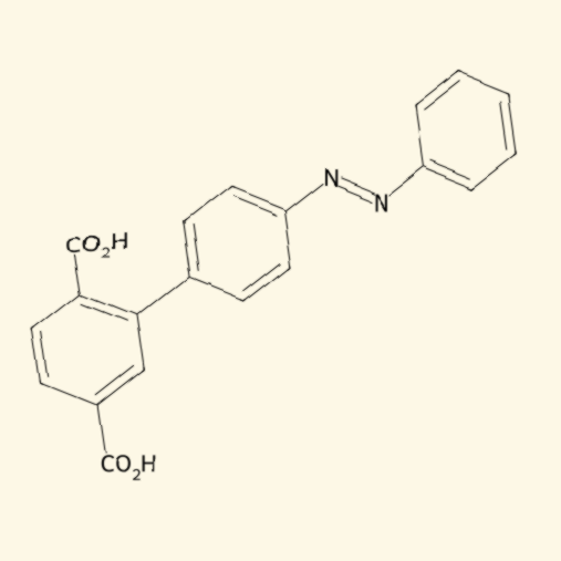 O=C(O)c1ccc(C(=O)O)c(-c2ccc(N=Nc3ccccc3)cc2)c1